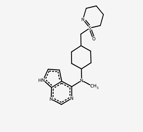 CN(c1ncnc2[nH]ccc12)C1CCC(CS2(=O)=NCCCC2)CC1